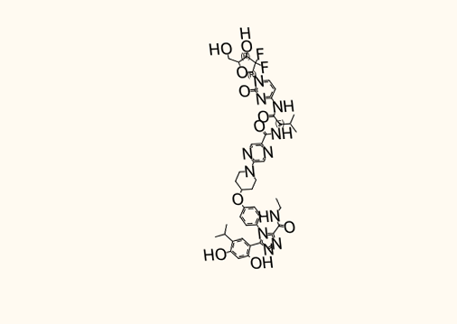 CCNC(=O)c1nnc(-c2cc(C(C)C)c(O)cc2O)n1-c1ccc(OC2CCN(c3cnc(C(=O)N[C@H](C(=O)Nc4ccn([C@@H]5OC(CO)[C@@H](O)C5(F)F)c(=O)n4)C(C)C)cn3)CC2)cc1